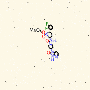 COCCOC(=O)N1C[C@H](NC(=O)N2CCC(n3c(=O)[nH]c4ncccc43)CC2)CC[C@@H](c2cccc(F)c2F)C1